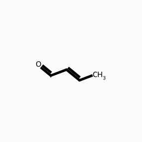 CC=C[C]=O